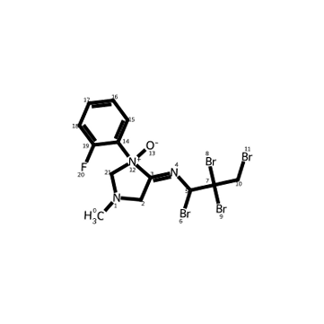 CN1CC(=NC(Br)C(Br)(Br)CBr)[N+]([O-])(c2ccccc2F)C1